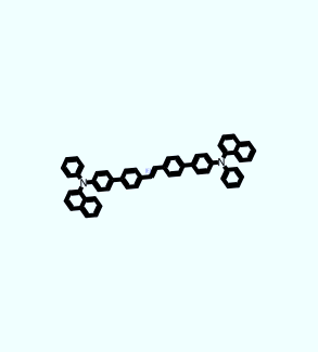 C(=C\c1ccc(-c2ccc(N(c3ccccc3)c3cccc4ccccc34)cc2)cc1)/c1ccc(-c2ccc(N(c3ccccc3)c3cccc4ccccc34)cc2)cc1